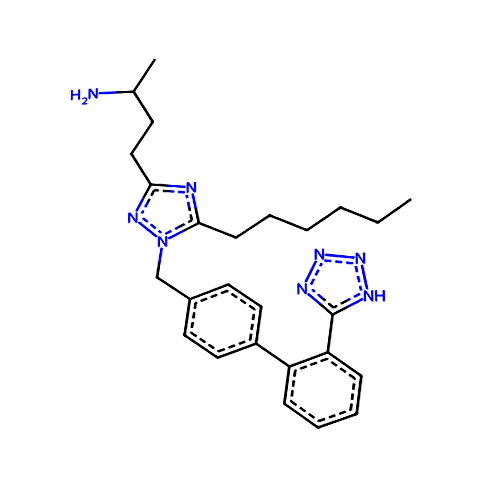 CCCCCCc1nc(CCC(C)N)nn1Cc1ccc(-c2ccccc2-c2nnn[nH]2)cc1